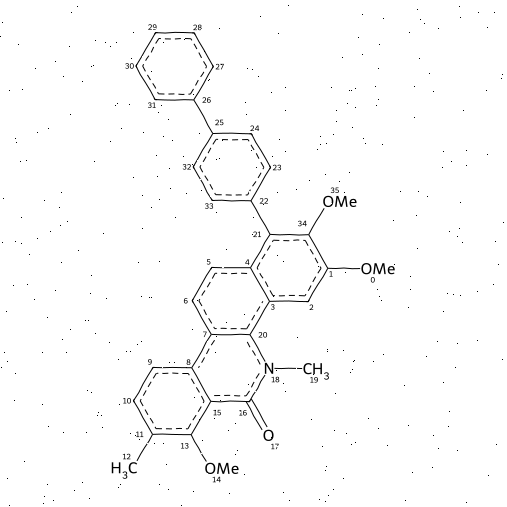 COc1cc2c(ccc3c4ccc(C)c(OC)c4c(=O)n(C)c23)c(-c2ccc(-c3ccccc3)cc2)c1OC